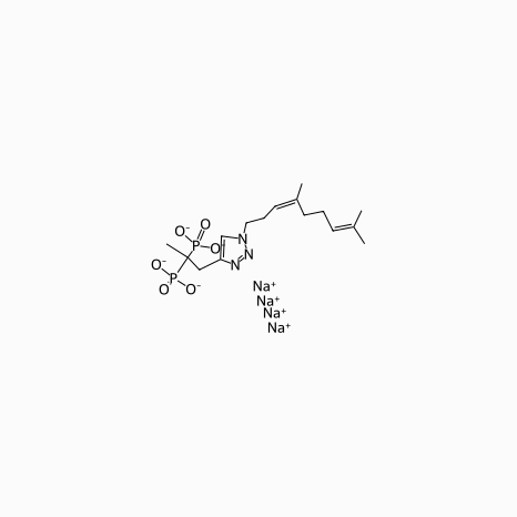 CC(C)=CCCC(C)=CCCn1cc(CC(C)(P(=O)([O-])[O-])P(=O)([O-])[O-])nn1.[Na+].[Na+].[Na+].[Na+]